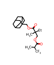 CCC(C)(COC(=O)C(C)C(F)(F)F)C(=O)OCC12CC3CC(CC(C3)C1)C2